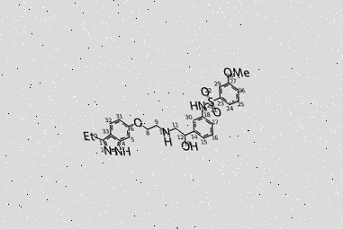 CCc1n[nH]c2cc(OCCNCC(O)c3cccc(NS(=O)(=O)c4cccc(OC)c4)c3)ccc12